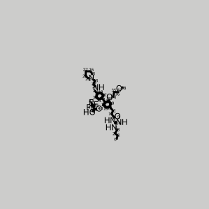 CCCCNC(=N)NC(=O)CCc1ccc(-c2ccc(CNCCN3CCCCC3)cc2)c(OCCCOC)c1.O=C(O)C(F)(F)F